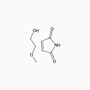 COCCO.O=C1C=CC(=O)N1